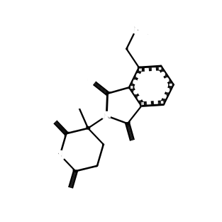 CC1(N2C(=O)c3cccc(CN)c3C2=O)CCC(=O)NC1=O